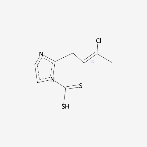 C/C(Cl)=C/Cc1nccn1C(=S)S